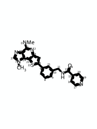 CNc1nc2cc(-c3cccc(CNC(=O)c4ccncc4)c3)sc2c2c1ncn2C